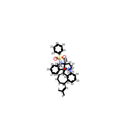 CC(C)=C[C@H]1CCC[C@]2([C@]34CCC[C@H]3N(S(=O)(=O)c3ccccc3)c3ccccc34)c3c1cccc3N(C)[C@H]2C#N